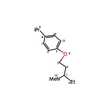 CCC(CCOc1ccc(C(C)C)cc1)NC